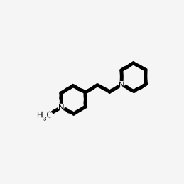 CN1CCC(CCN2CCCCC2)CC1